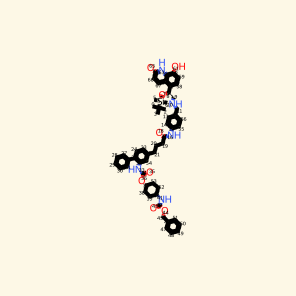 CC(C)(C)[Si](C)(C)O[C@@H](CNCc1ccc(NC(=O)CCCc2ccc(-c3ccccc3)c(NC(=O)O[C@H]3CC[C@H](NC(=O)OCc4ccccc4)CC3)c2)cc1)c1ccc(O)c2[nH]c(=O)ccc12